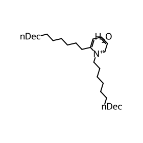 CCCCCCCCCCCCCCCCc1cccc[n+]1CCCCCCCCCCCCCCCC.O